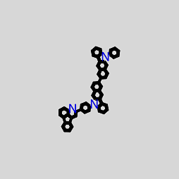 c1ccc(-n2c3ccccc3c3cc4cc(-c5ccc6cc7c(cc6c5)c5ccccc5n7-c5ccc(-c6cc7c8c(cccc8n6)-c6ccccc6-7)cc5)ccc4cc32)cc1